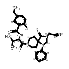 CCc1ccc(F)c(C(=O)N[C@@H](C(=O)N2CCC3(CC2)C(=O)N(CC#N)CN3c2ccccc2)C(C)C)c1